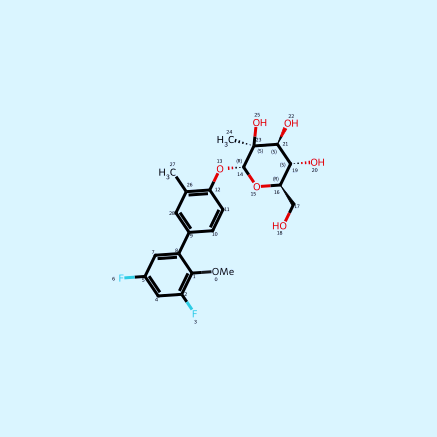 COc1c(F)cc(F)cc1-c1ccc(O[C@H]2O[C@H](CO)[C@@H](O)[C@H](O)[C@]2(C)O)c(C)c1